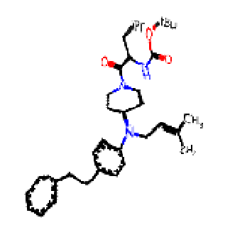 CC(C)=CCN(c1ccc(CCc2ccccc2)cc1)C1CCN(C(=O)C(CC(C)C)NC(=O)OC(C)(C)C)CC1